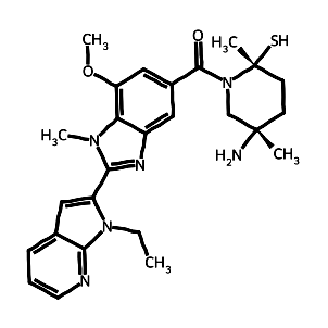 CCn1c(-c2nc3cc(C(=O)N4C[C@@](C)(N)CC[C@@]4(C)S)cc(OC)c3n2C)cc2cccnc21